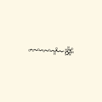 O=COCCOCCOCCOCCNC(=O)CCCC[C@H]1SC[C@H]2NC(=O)N[C@H]21